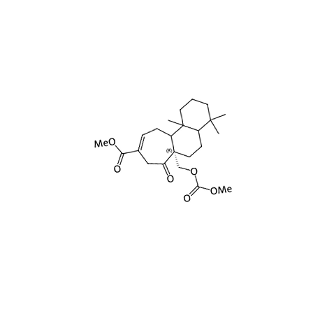 COC(=O)OC[C@@]12CCC3C(C)(C)CCCC3(C)C1CC=C(C(=O)OC)CC2=O